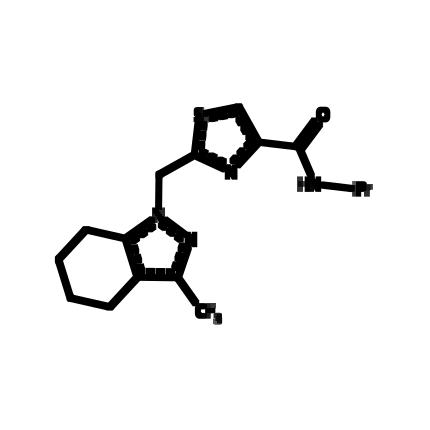 CC(C)NC(=O)c1csc(Cn2nc(C(F)(F)F)c3c2CCCC3)n1